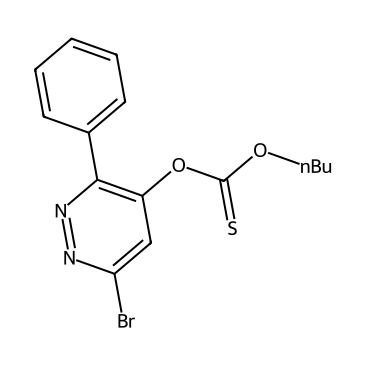 CCCCOC(=S)Oc1cc(Br)nnc1-c1ccccc1